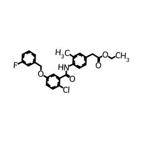 CCOC(=O)Cc1ccc(NC(=O)c2cc(OCc3cccc(F)c3)ccc2Cl)c(C)c1